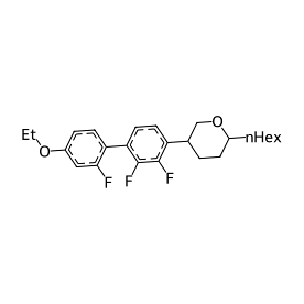 CCCCCCC1CCC(c2ccc(-c3ccc(OCC)cc3F)c(F)c2F)CO1